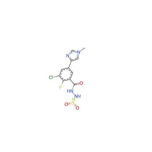 Cn1cnc(-c2cc(Cl)c(F)c(C(=O)NN[SH](=O)=O)c2)c1